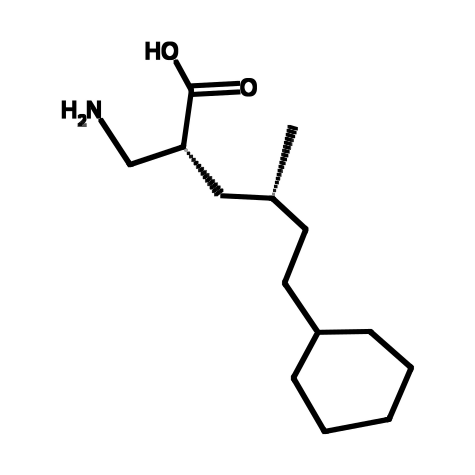 C[C@H](CCC1CCCCC1)C[C@H](CN)C(=O)O